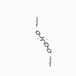 CCCCCCCOc1ccc(C2=C3C(=O)N(C)C(c4ccc(-c5ccc(OCCCCCCC)cc5)cc4)=C3C(=O)N2C)cc1